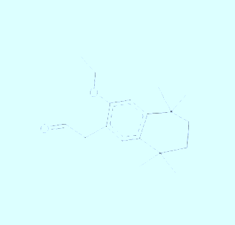 CCOc1cc2c(cc1CC=O)C(C)(C)CCC2(C)C